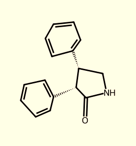 O=C1NC[C@@H](c2ccccc2)[C@H]1c1ccccc1